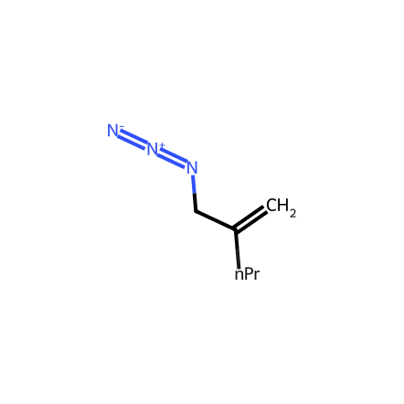 C=C(CCC)CN=[N+]=[N-]